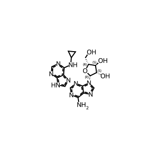 Nc1ncnc2c1ncn2[C@@H]1O[C@H](CO)[C@@H](O)[C@@H]1O.c1nc(NC2CC2)c2nc[nH]c2n1